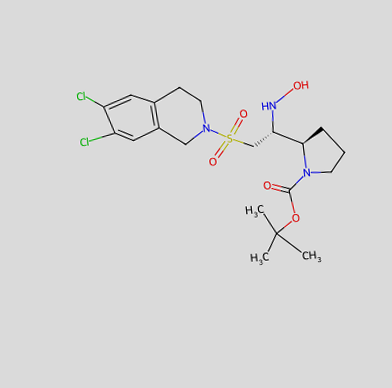 CC(C)(C)OC(=O)N1CCC[C@@H]1[C@H](CS(=O)(=O)N1CCc2cc(Cl)c(Cl)cc2C1)NO